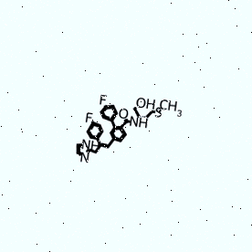 CSCC[C@@H](CO)NC(=O)c1ccc(C=C(Cc2ncc[nH]2)c2ccc(F)cc2)cc1-c1ccc(F)cc1